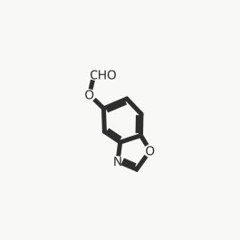 O=COc1ccc2ocnc2c1